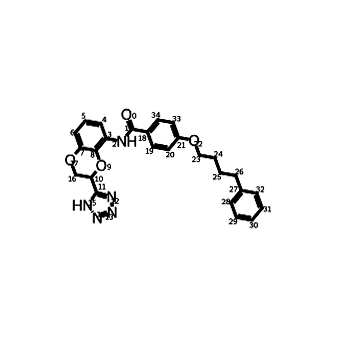 O=C(Nc1cccc2c1OC(c1nnn[nH]1)CO2)c1ccc(OCCCCc2ccccc2)cc1